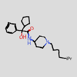 CC(C)CCCCN1CCC(NC(=O)C(O)(c2ccccc2)C2CCCC2)CC1